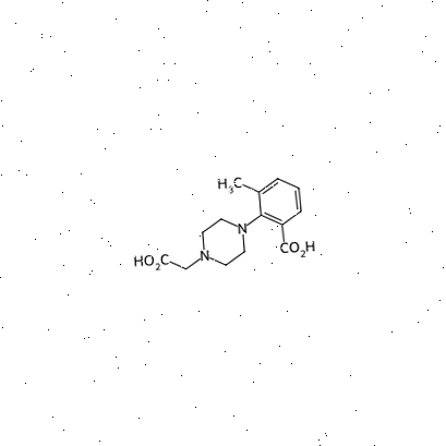 Cc1cccc(C(=O)O)c1N1CCN(CC(=O)O)CC1